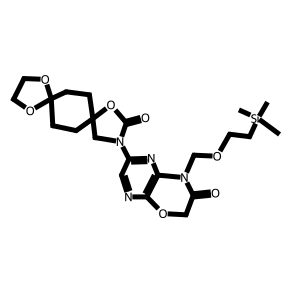 C[Si](C)(C)CCOCN1C(=O)COc2ncc(N3CC4(CCC5(CC4)OCCO5)OC3=O)nc21